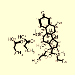 CCC(=O)O.CCC(=O)O.CCC(=O)O[C@]1(C(=O)SCF)[C@H](C)C[C@H]2[C@@H]3C[C@H](F)C4=CC(=O)C=C[C@]4(C)[C@@]3(F)[C@@H](O)C[C@@]21C